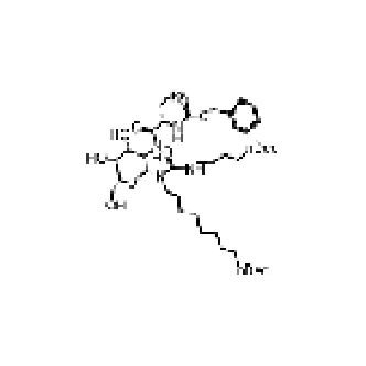 CCCCCCCCCCCCCCCCCCN(C(=O)NCCCCCCCCCCCCCC)[C@@H]1O[C@H](CO)[C@@H](O)[C@H](O)[C@H]1NC(=O)[C@H](CC(C)C)NC(=O)OCc1ccccc1